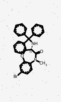 CN1C(=O)[C@@H](NC(c2ccccc2)(c2ccccc2)c2ccccc2)COc2cc(Br)ccc21